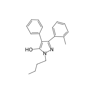 CCCCn1nc(-c2ccccc2C)c(-c2ccccc2)c1O